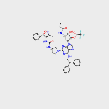 CCC(=O)N[C@H]1C[C@@H](n2cnc3c(NCC(c4ccccc4)c4ccccc4)nc(N4CC[C@@H](NC(=O)Nc5c(C)noc5-c5ccccc5)C4)nc32)[C@H](OC(=O)C(F)(F)F)[C@@H]1O